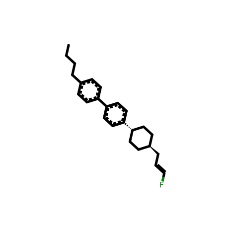 CCCCc1ccc(-c2ccc([C@H]3CC[C@H](CC=CF)CC3)cc2)cc1